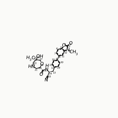 Cn1c(=O)oc2ccc(-c3ccc(C[C@@H](C#N)NC(=O)[C@@H]4CNC[C@@](C)(O)CO4)cc3)cc21